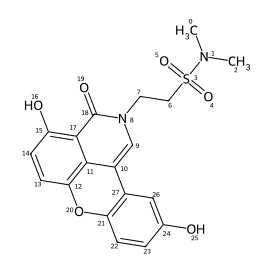 CN(C)S(=O)(=O)CCn1cc2c3c(ccc(O)c3c1=O)Oc1ccc(O)cc1-2